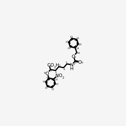 O=C(NCCCCC(Oc1ccccc1[N+](=O)[O-])C(=O)O)OCc1ccccc1